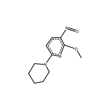 COc1nc(N2CCCCC2)ccc1N=O